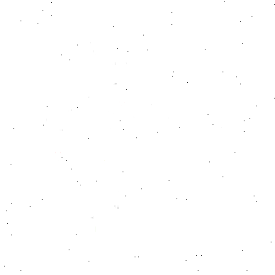 CCCCCCCOc1cc(CSc2ccc(F)cc2)c(C(=O)O)c(O)c1CC=C(C)C